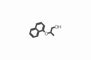 CC(CO)Oc1cccc2ccccc12